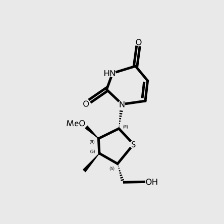 CO[C@@H]1[C@H](C)[C@@H](CO)S[C@H]1n1ccc(=O)[nH]c1=O